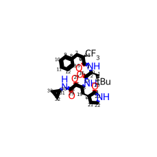 CC(C)(C)C[C@H](NC(=O)[C@@H](Cc1ccccc1)C(F)(F)F)C(=O)NC(C[C@@H]1CCNC1=O)C(=O)C(=O)NC1CC1